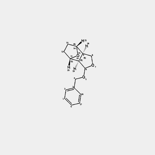 c1ccc(COC2OC[C@H]3[C@@H]2[C@@H]2CC[C@H]3O2)cc1